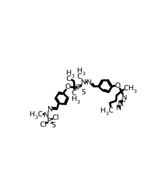 CCCCC(C)(N=[N+]=[N-])Oc1ccc(/C=N/N(C)[PH](=S)C(C)(CC)Oc2ccc(/C=N/N(C)P(=S)(Cl)Cl)cc2)cc1